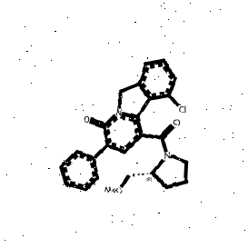 COC[C@H]1CCCN1C(=O)c1cc(-c2ccccc2)c(=O)n2c1-c1c(Cl)cccc1C2